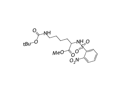 COC(=O)C(CCCCNC(=O)OC(C)(C)C)NS(=O)(=O)c1ccccc1[N+](=O)[O-]